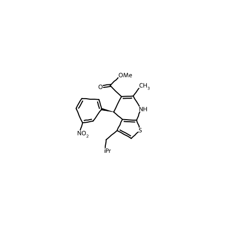 COC(=O)C1=C(C)Nc2scc(CC(C)C)c2[C@H]1c1cccc([N+](=O)[O-])c1